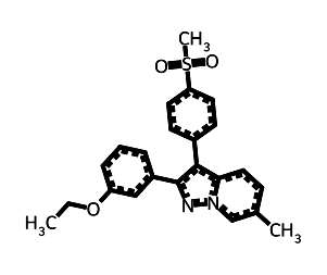 CCOc1cccc(-c2nn3cc(C)ccc3c2-c2ccc(S(C)(=O)=O)cc2)c1